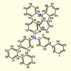 c1ccc(-c2ccc(N(c3ccc(-c4ccccc4-c4ccccc4)cc3)c3ccc(-c4ccccc4-n4c5ccccc5c5ccccc54)cc3)cc2)cc1